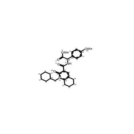 COC(=O)[C@H](NC(=O)c1cc2c(n(CC3CCCCC3)c1=O)CCCC2)c1ccc(OC)cc1